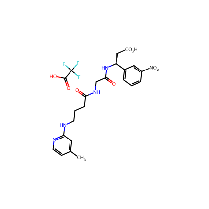 Cc1ccnc(NCCCC(=O)NCC(=O)N[C@@H](CC(=O)O)c2cccc([N+](=O)[O-])c2)c1.O=C(O)C(F)(F)F